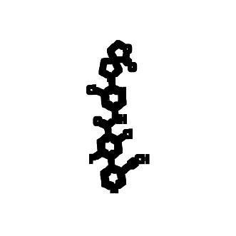 C#Cc1cnccc1-c1cc(Cl)c(C(=O)Nc2cnc(N3CCC4(CCOC4=O)C3)c(Cl)c2)cc1F